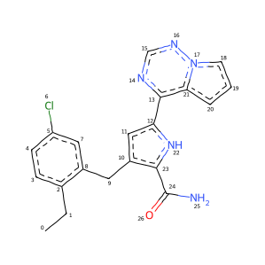 CCc1ccc(Cl)cc1Cc1cc(-c2ncnn3cccc23)[nH]c1C(N)=O